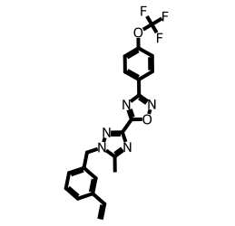 C=Cc1cccc(Cn2nc(-c3nc(-c4ccc(OC(F)(F)F)cc4)no3)nc2C)c1